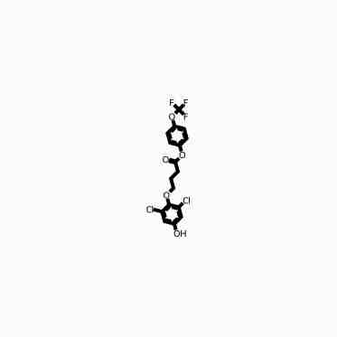 O=C(CCCOc1c(Cl)cc(O)cc1Cl)Oc1ccc(OC(F)(F)F)cc1